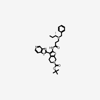 CC[C@H](C)N(CCC(=O)Nc1sc2c(c1-c1nc3cnccc3s1)CCN(C(=O)OC(C)(C)C)C2)Cc1ccccc1